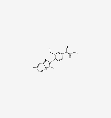 CCNC(=O)c1ccc(-c2nc3cc(C)ccn3c2C)c(CC)c1